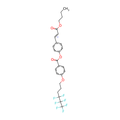 CCCCOC(=O)/C=C/c1ccc(OC(=O)c2ccc(OCCCC(F)(F)C(F)(F)C(F)(F)F)cc2)cc1